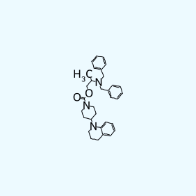 CC(COC(=O)N1CCC(N2CCCc3ccccc32)CC1)N(Cc1ccccc1)Cc1ccccc1